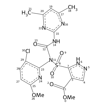 COC(=O)c1cn[nH]c1S(=O)(=O)N(C(=O)Nc1nc(C)cc(C)n1)c1nc(OC)ccc1Cl